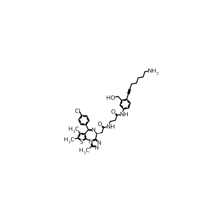 Cc1sc2c(c1C)C(c1ccc(Cl)cc1)=N[C@@H](CC(=O)NCCC(=O)Nc1ccc(C#CCCCCCN)c(CO)c1)c1nnc(C)n1-2